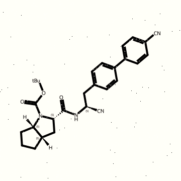 CC(C)(C)OC(=O)N1[C@H](C(=O)N[C@H](C#N)Cc2ccc(-c3ccc(C#N)cc3)cc2)C[C@@H]2CCC[C@@H]21